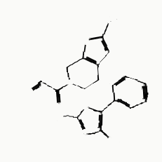 C=CC(=O)N1Cc2sc(C)cc2[C@H](c2ccccc2-c2sc(C)nc2C)C1